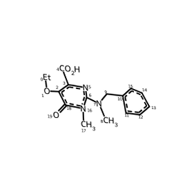 CCOc1c(C(=O)O)nc(N(C)Cc2ccccc2)n(C)c1=O